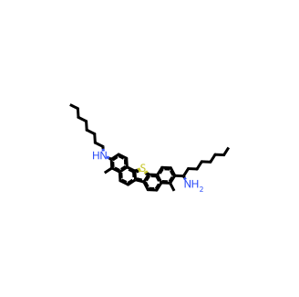 CCCCCCCCNc1ccc2c(ccc3c4ccc5c(C)c(C(N)CCCCCCC)ccc5c4sc23)c1C